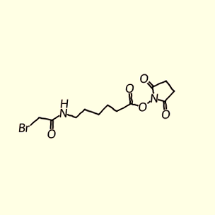 O=C(CBr)NCCCCCC(=O)ON1C(=O)CCC1=O